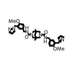 COc1ccc(CNC(=O)N2CC3(C)CN(C(=O)NCc4ccc(OC)c(Cn5cccn5)c4)CC(C)(C2)C3)cc1Cn1cccn1